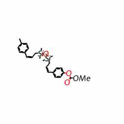 COC(=O)Oc1ccc(/C=C\C[Si](C)(C)O[Si](C)(C)C/C=C\c2ccc(C)cc2)cc1